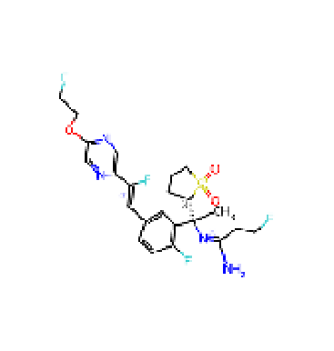 CC(/N=C(/N)CCF)(c1cc(/C=C(\F)c2cnc(OCCF)cn2)ccc1F)[C@@H]1CCCS1(=O)=O